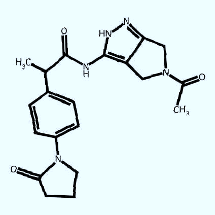 CC(=O)N1Cc2n[nH]c(NC(=O)C(C)c3ccc(N4CCCC4=O)cc3)c2C1